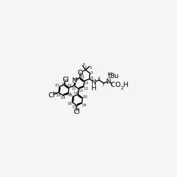 CC1(C)CC(NCCN(C(=O)O)C(C)(C)C)c2cc(-c3ccc(Cl)cc3)c(-c3ccc(Cl)cc3Cl)nc2O1